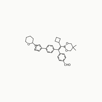 CC1(C)COB(/C(=C(\c2ccc(C=O)cc2)c2ccc(-c3cnn(C4CCCCO4)c3)cc2)C2CCC2)OC1